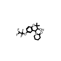 CC1(C)Oc2ccc(OC(F)(F)C(F)F)cc2C(N2CCCCC2=O)C1O